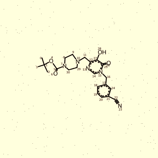 CC(C)(C)OC(=O)N1CCN(Cc2ncn(Cc3cccc(C#N)c3)c(=O)c2O)CC1